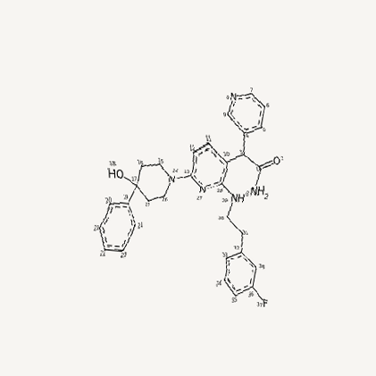 NC(=O)C(c1cccnc1)c1ccc(N2CCC(O)(c3ccccc3)CC2)nc1NCCc1cccc(F)c1